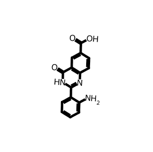 Nc1ccccc1-c1nc2ccc(C(=O)O)cc2c(=O)[nH]1